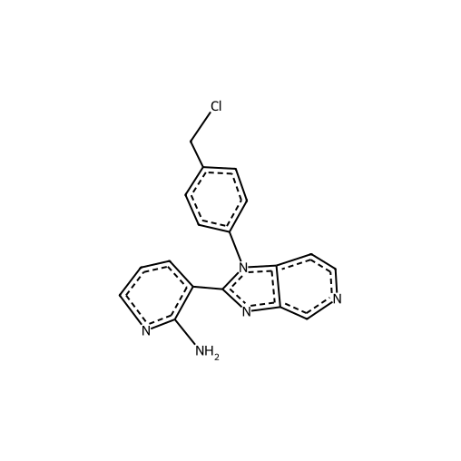 Nc1ncccc1-c1nc2cnccc2n1-c1ccc(CCl)cc1